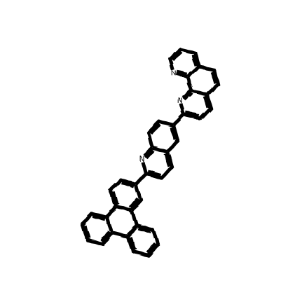 c1cnc2c(c1)ccc1ccc(-c3ccc4nc(-c5ccc6c7ccccc7c7ccccc7c6c5)ccc4c3)nc12